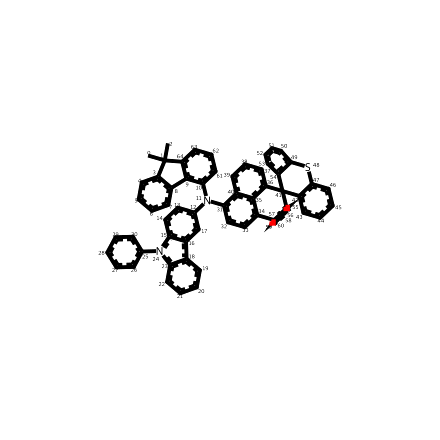 CC1(C)c2ccccc2-c2c(N(c3ccc4c(c3)c3ccccc3n4-c3ccccc3)c3ccc4c5c(cccc35)C3(c5ccccc5Sc5ccccc53)c3ccccc3-4)cccc21